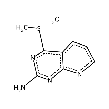 CSc1nc(N)nc2ncccc12.O